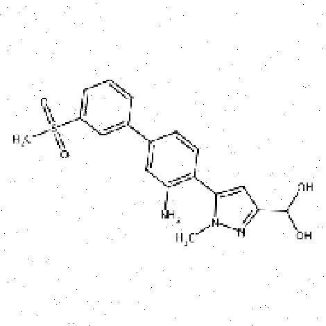 Cn1nc(C(O)O)cc1-c1ccc(-c2cccc(S(C)(=O)=O)c2)cc1N